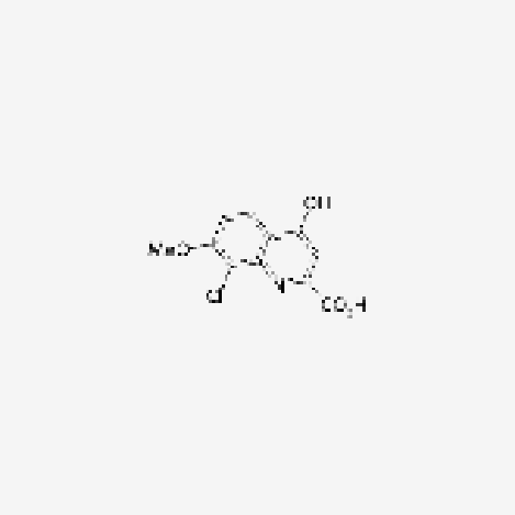 COc1ccc2c(O)cc(C(=O)O)nc2c1Cl